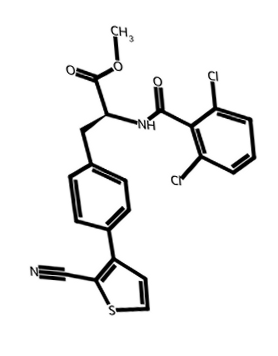 COC(=O)[C@H](Cc1ccc(-c2ccsc2C#N)cc1)NC(=O)c1c(Cl)cccc1Cl